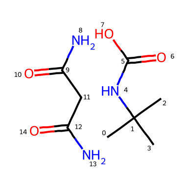 CC(C)(C)NC(=O)O.NC(=O)CC(N)=O